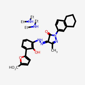 CC1=NN(c2ccc3c(c2)CCCC3)C(=O)/C1=N\Nc1cccc(-c2ccc(C(=O)O)o2)c1O.CCNCC.CCNCC